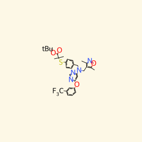 Cc1noc(C)c1CN(Cc1ccc(SC(C)(C)C(=O)OC(C)(C)C)cc1)c1cc(Oc2cccc(C(F)(F)F)c2)ncn1